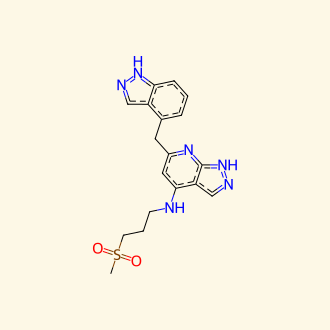 CS(=O)(=O)CCCNc1cc(Cc2cccc3[nH]ncc23)nc2[nH]ncc12